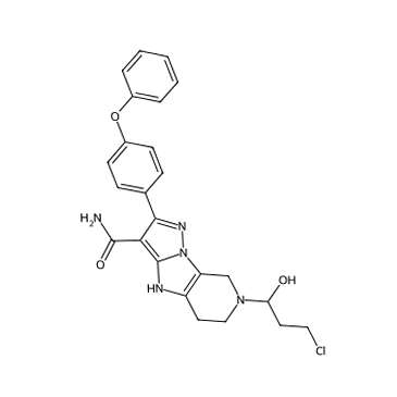 NC(=O)c1c(-c2ccc(Oc3ccccc3)cc2)nn2c3c([nH]c12)CCN(C(O)CCCl)C3